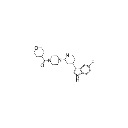 O=C(C1CCOCC1)N1CCN(C2CC(c3c[nH]c4ccc(F)cc34)CC[N]2)CC1